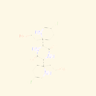 O=C1NC(C2(CCO)CCC(Cl)CN2)C(=O)NC1C1(CCO)CCC(Cl)CN1